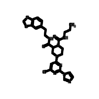 CCCNC(=O)N1CCN(c2cc(Cl)nc(-n3ccnc3)n2)CC1C(=O)NCCc1ccc2c(c1)OCO2